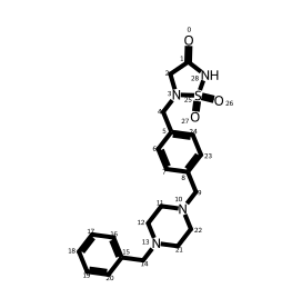 O=C1CN(Cc2ccc(CN3CCN(Cc4ccccc4)CC3)cc2)S(=O)(=O)N1